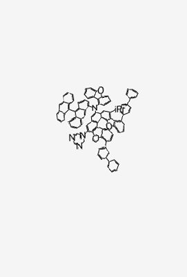 CC(C)c1cc2c(N(c3cccc4c(-c5c6ccccc6cc6ccccc56)c5ccccc5cc34)c3cccc4oc5ccccc5c34)cc3cc(N4C=NC=NC4)c4oc5c(-c6cccc(-c7ccccc7)c6)cccc5c4c3c2c2oc3cccc(-c4ccc(-c5ccccc5)cc4)c3c12